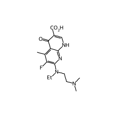 CCN(CCN(C)C)c1nc2[nH]cc(C(=O)O)c(=O)c2c(C)c1F